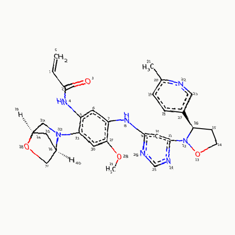 C=CC(=O)Nc1cc(Nc2cc(N3OCC[C@@H]3c3ccc(C)nc3)ncn2)c(OC)cc1N1C[C@H]2C[C@@H]1CO2